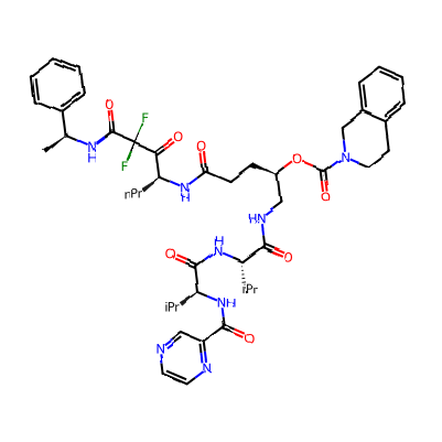 CCC[C@H](NC(=O)CC[C@H](CNC(=O)[C@@H](NC(=O)[C@@H](NC(=O)c1cnccn1)C(C)C)C(C)C)OC(=O)N1CCc2ccccc2C1)C(=O)C(F)(F)C(=O)N[C@@H](C)c1ccccc1